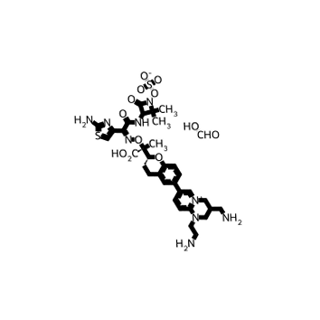 CC1(C)C(NC(=O)/C(=N\O[C@](C)(C(=O)O)[C@H]2CCc3cc(-c4ccc5[n+](c4)CC(CN)CN5CCN)ccc3O2)c2csc(N)n2)C(=O)N1OS(=O)(=O)[O-].O=CO